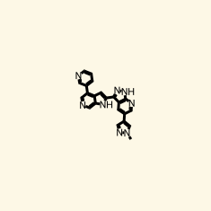 Cn1cc(-c2cnc3[nH]nc(-c4cc5c(-c6cccnc6)cncc5[nH]4)c3c2)cn1